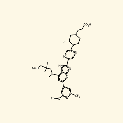 CCOc1cc(-c2cc(N(C)CC(C)(C)COC)c3[nH]c(-c4cnc(N5CCN(CCC(=O)O)C[C@H]5C)cn4)nc3n2)cc(C(F)(F)F)n1